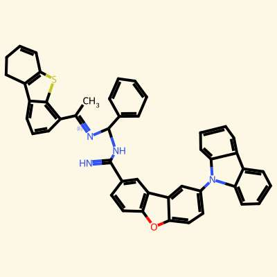 C/C(=N\C(NC(=N)c1ccc2oc3ccc(-n4c5ccccc5c5ccccc54)cc3c2c1)c1ccccc1)c1cccc2c3c(sc12)C=CCC3